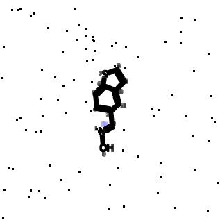 O/N=C/c1ccc2sccc2c1